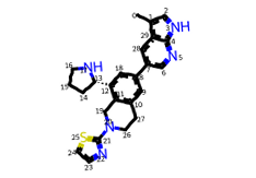 Cc1c[nH]c2ncc(-c3cc4c(c([C@@H]5CCCN5)c3)CN(c3nccs3)CC4)cc12